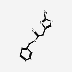 CC(C)c1nc(CC(=O)OCc2ccccc2)cs1